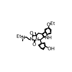 CCOc1ccc2[nH]c3c(c2c1)CC1(C)C(=O)N(CCN(C)CC)C(=O)N1C3c1cccc(O)c1